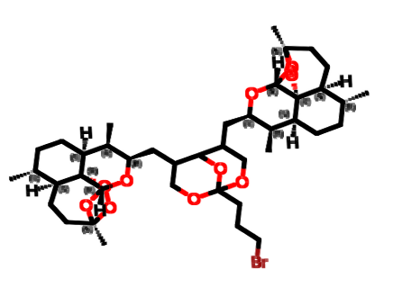 C[C@H]1[C@@H](CC2COC3(CCCBr)OCC(C[C@H]4O[C@@H]5O[C@]6(C)CC[C@H]7[C@H](C)CC[C@@H]([C@H]4C)[C@@]57OO6)C2O3)O[C@@H]2O[C@]3(C)CC[C@H]4[C@H](C)CC[C@@H]1[C@@]24OO3